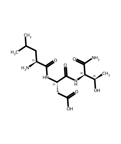 CC(C)C[C@H](N)C(=O)N[C@@H](CC(=O)O)C(=O)N[C@@H](C(N)=O)[C@@H](C)O